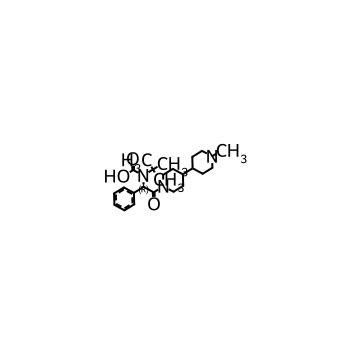 CN1CCC(C2CCN(C(=O)[C@@H](c3ccccc3)N(C(=O)O)C(C)(C)C)CC2)CC1